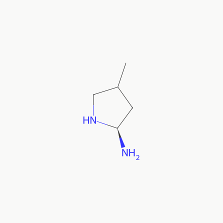 CC1CN[C@H](N)C1